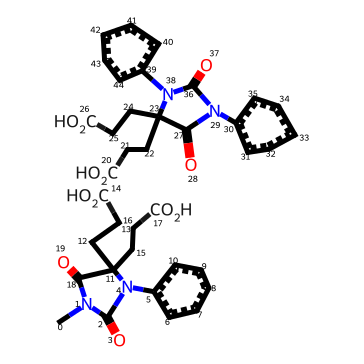 CN1C(=O)N(c2ccccc2)C(CCC(=O)O)(CCC(=O)O)C1=O.O=C(O)CCC1(CCC(=O)O)C(=O)N(c2ccccc2)C(=O)N1c1ccccc1